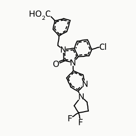 O=C(O)c1cccc(Cn2c(=O)n(-c3ccc(N4CCC(F)(F)C4)nc3)c3cc(Cl)ccc32)c1